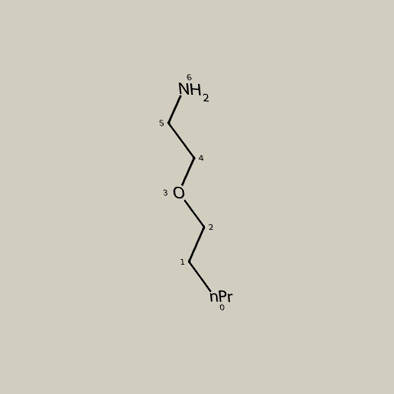 CCCCCOCCN